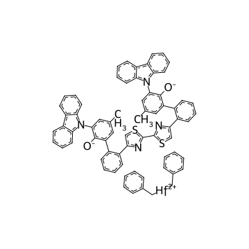 Cc1cc(-c2ccccc2-c2csc(-c3nc(-c4ccccc4-c4cc(C)cc(-n5c6ccccc6c6ccccc65)c4[O-])cs3)n2)c([O-])c(-n2c3ccccc3c3ccccc32)c1.c1ccc([CH2][Hf+2][CH2]c2ccccc2)cc1